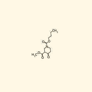 CCCCOC(=O)N1CCC(=O)C(C(=O)OC)C1